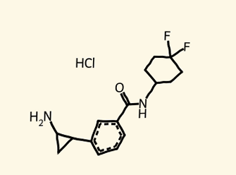 Cl.NC1CC1c1cccc(C(=O)NC2CCC(F)(F)CC2)c1